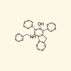 Oc1c(-c2ccccc2)c2c(c(NCc3ccccc3)c1-c1ccccc1)-c1ccccc1C2